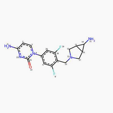 Nc1ccn(-c2cc(F)c(CN3CC4C(N)C4C3)c(F)c2)c(=O)n1